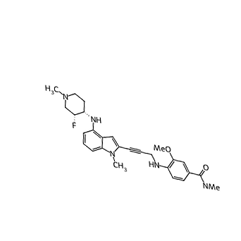 CNC(=O)c1ccc(NCC#Cc2cc3c(N[C@H]4CCN(C)C[C@H]4F)cccc3n2C)c(OC)c1